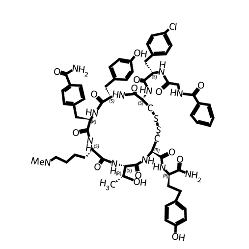 CNCCCC[C@@H]1NC(=O)[C@@H](Cc2ccc(C(N)=O)cc2)NC(=O)[C@H](Cc2ccc(O)cc2)NC(=O)[C@H](NC(=O)[C@H](Cc2ccc(Cl)cc2)NC(=O)CNC(=O)c2ccccc2)CSSC[C@@H](C(=O)N[C@H](CCc2ccc(O)cc2)C(N)=O)NC(=O)[C@H]([C@@H](C)O)NC1=O